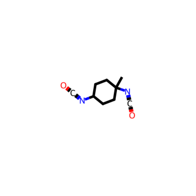 CC1(N=C=O)CCC(N=C=O)CC1